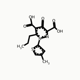 CCCc1c(C(=O)O)c(=O)c(C(=O)O)nn1-c1cc(C)cs1